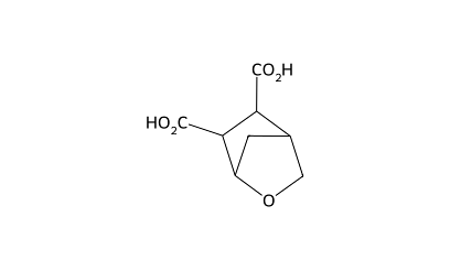 O=C(O)C1C2COC(C2)C1C(=O)O